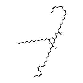 CC/C=C\C/C=C\C/C=C\CCCCCCCC(=O)OCC(COC(=O)CCCCCCC/C=C\C/C=C\C/C=C\CC)OC(=O)CCCCCCCCCCCCC